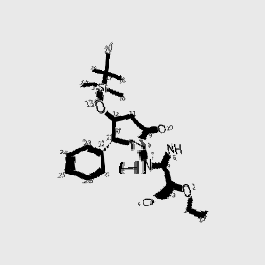 CCOC(=O)C(=N)NN1C(=O)CC(O[Si](C)(C)C(C)(C)C)[C@H]1c1ccccc1